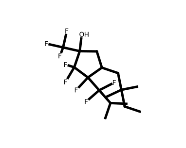 CCC(C)(C)CC1CC(O)(C(F)(F)F)C(F)(F)C1(F)C(F)(F)C(C)C